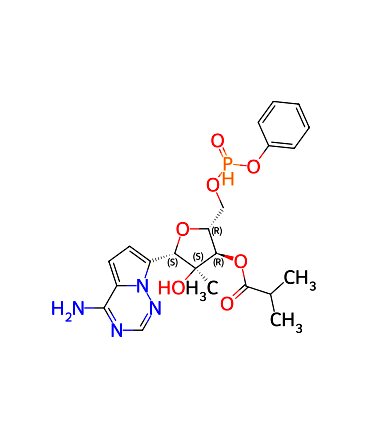 CC(C)C(=O)O[C@@H]1[C@@H](CO[PH](=O)Oc2ccccc2)O[C@@H](c2ccc3c(N)ncnn23)[C@]1(C)O